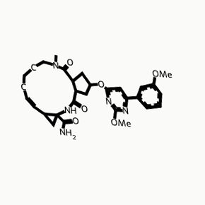 COc1cccc(-c2cc(OC3CC4C(=O)NC5(C(N)=O)CC5C=CCCCCN(C)C(=O)C4C3)nc(OC)n2)c1